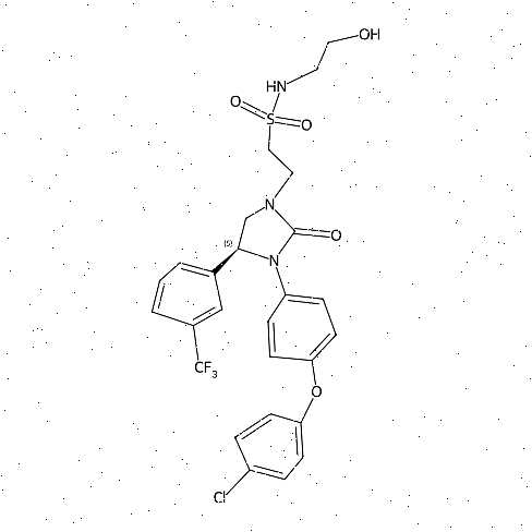 O=C1N(CCS(=O)(=O)NCCO)C[C@H](c2cccc(C(F)(F)F)c2)N1c1ccc(Oc2ccc(Cl)cc2)cc1